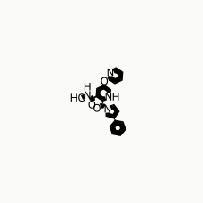 O=C(NO)[C@H]1C[C@H](Oc2ccccn2)CN[C@@H]1C(=O)N1CC[C@H](c2ccccc2)C1